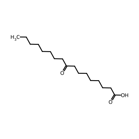 CCCCCCCCC(=O)CCCCCCCC(=O)O